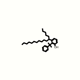 CCCCCCCCCCCC(CCCCC)c1cccc(O)c1C(C)(C)c1ccccc1